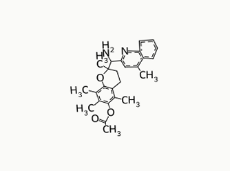 CC(=O)Oc1c(C)c(C)c2c(c1C)CCC(C)(C(N)c1cc(C)c3ccccc3n1)O2